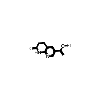 C=C(OCC)c1cnc2c(c1)CCC(=O)N2